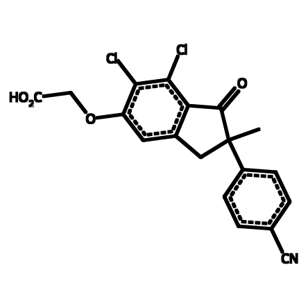 CC1(c2ccc(C#N)cc2)Cc2cc(OCC(=O)O)c(Cl)c(Cl)c2C1=O